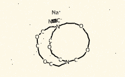 C1COCCN2CCOCCOCCN(CCO1)CCOCC2.[C-]#N.[Na+]